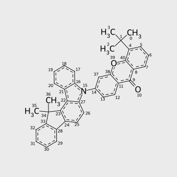 CC(C)(C)c1cccc2c(=O)c3ccc(-n4c5ccccc5c5c6c(ccc54)-c4ccccc4C6(C)C)cc3oc12